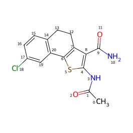 CC(=O)Nc1sc2c(c1C(N)=O)CCc1ccc(Cl)cc1-2